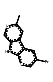 Cc1cc2c(cn1)[nH]c1ncc(Br)cc12